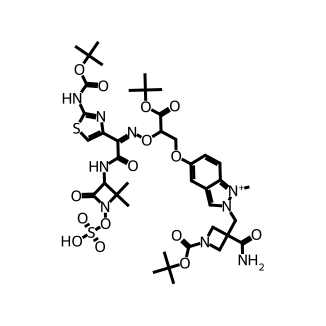 C[n+]1c2ccc(OCC(O/N=C(\C(=O)NC3C(=O)N(OS(=O)(=O)O)C3(C)C)c3csc(NC(=O)OC(C)(C)C)n3)C(=O)OC(C)(C)C)cc2cn1CC1(C(N)=O)CN(C(=O)OC(C)(C)C)C1